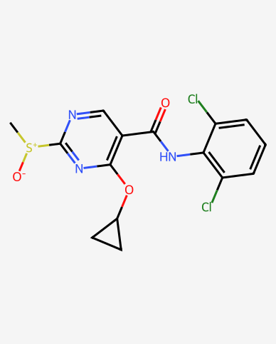 C[S+]([O-])c1ncc(C(=O)Nc2c(Cl)cccc2Cl)c(OC2CC2)n1